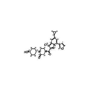 O=C(c1nn2c(-c3ccoc3)cc(C3CC3)cc2c1Cl)N1CCN([C@H]2CC[C@H](O)CC2)C(=O)C1